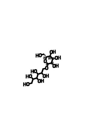 OCC(O)C(O)C(O)C(O)CO[C@H]1O[C@H](CO)[C@@H](O)[C@H](O)[C@H]1O